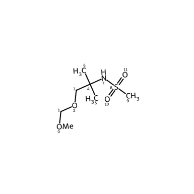 COCOCC(C)(C)NS(C)(=O)=O